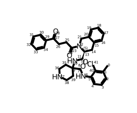 Cc1cccc(NC(=O)C2(NC(=O)[C@@H]3Cc4ccccc4CN3C(=O)CCC(=O)c3ccccc3)CCNCC2)c1Cl